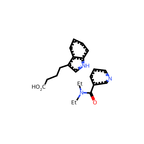 CCN(CC)C(=O)c1cccnc1.O=C(O)CCCc1c[nH]c2ccccc12